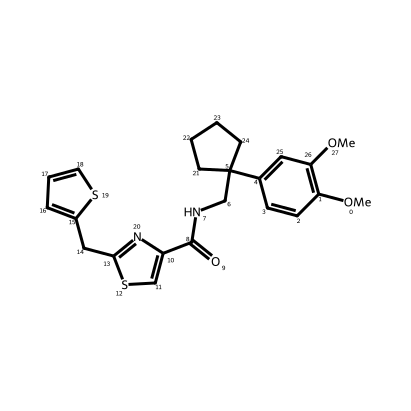 COc1ccc(C2(CNC(=O)c3csc(Cc4cccs4)n3)CCCC2)cc1OC